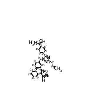 CCCc1nc(-c2ccc(C(C)N)cc2)n(Cc2ccc(-c3ccccc3-c3nnn[nH]3)cc2)n1